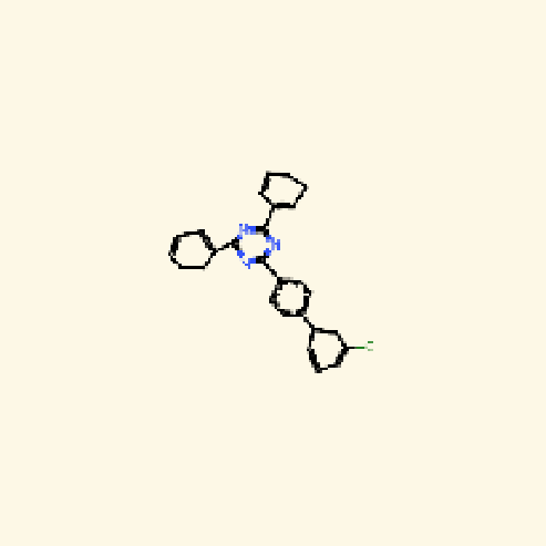 ClC1=CC=CC(c2ccc(-c3nc(C4=CCCC=C4)nc(C4=CC=CCC4)n3)cc2)C1